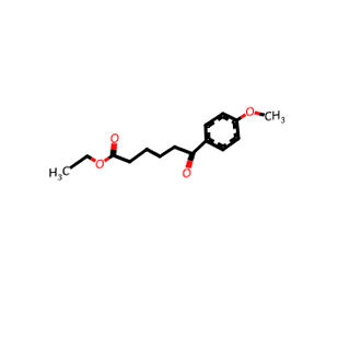 CCOC(=O)CCCCC(=O)c1ccc(OC)cc1